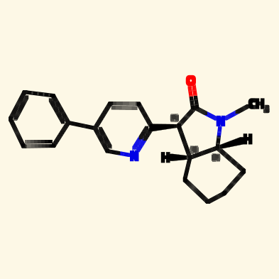 CN1C(=O)[C@H](c2ccc(-c3ccccc3)cn2)[C@H]2CCCC[C@H]21